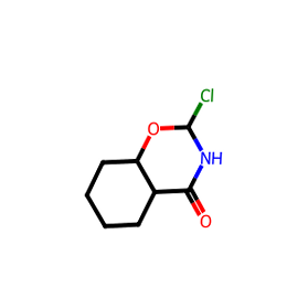 O=C1NC(Cl)OC2CCCCC12